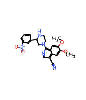 COc1cc2c(C#N)cnc(N3CCNC(c4cccc([N+](=O)[O-])c4)C3)c2cc1OC